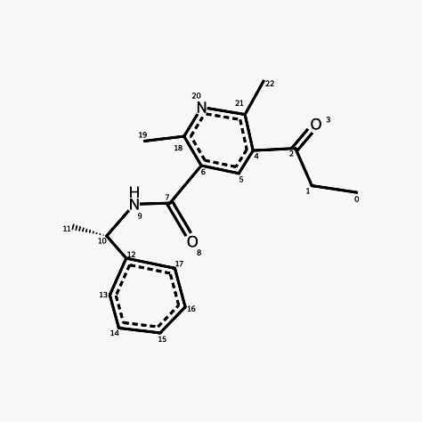 CCC(=O)c1cc(C(=O)N[C@@H](C)c2ccccc2)c(C)nc1C